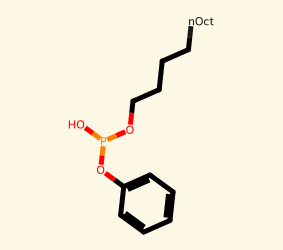 CCCCCCCCCCCCOP(O)Oc1ccccc1